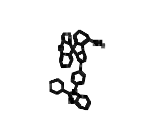 NC1=C2C(=CCC1)C1(c3ccccc3Oc3ccccc31)C1C=C(c3ccc(-n4c(C5CCCCC5)nc5ccccc54)cc3)C=CC21